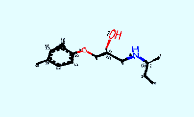 CC[C@H](C)NC[C@H](O)COc1ccc(C)cc1